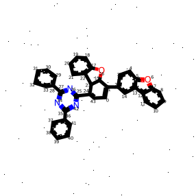 C1=C(c2ccc3oc4ccccc4c3c2)C2Oc3ccccc3C2C(c2nc(-c3ccccc3)nc(-c3ccccc3)n2)=C1